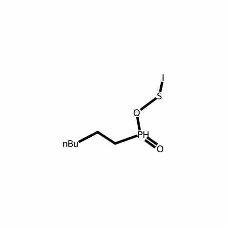 CCCCCC[PH](=O)OSI